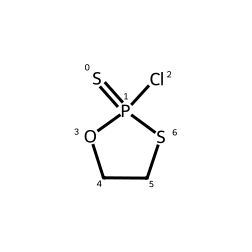 S=P1(Cl)OCCS1